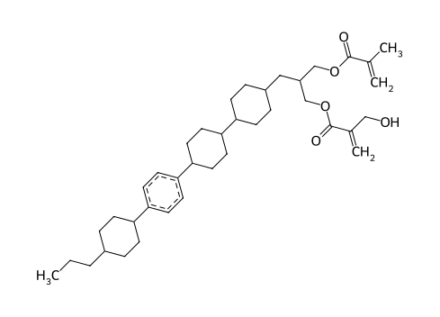 C=C(C)C(=O)OCC(COC(=O)C(=C)CO)CC1CCC(C2CCC(c3ccc(C4CCC(CCC)CC4)cc3)CC2)CC1